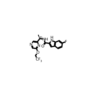 C[C@@H](NC(=O)c1cc2ccc(F)cc2[nH]1)c1cncc(OCC(F)(F)F)n1